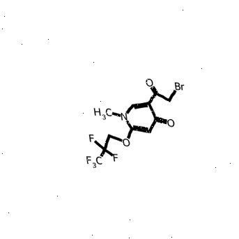 Cn1cc(C(=O)CBr)c(=O)cc1OCC(F)(F)C(F)(F)F